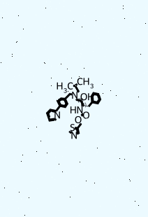 CC(C)CN(Cc1ccc(-c2ccccn2)cc1)C[C@@H](O)[C@H](Cc1ccccc1)NC(=O)OCc1cncs1